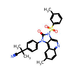 Cc1cccc(S(=O)(=O)n2c(=O)n(-c3ccc(C(C)(C)C#N)cc3)c3c4cc(C)ccc4ncc32)c1